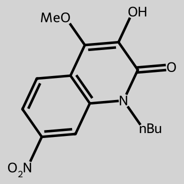 CCCCn1c(=O)c(O)c(OC)c2ccc([N+](=O)[O-])cc21